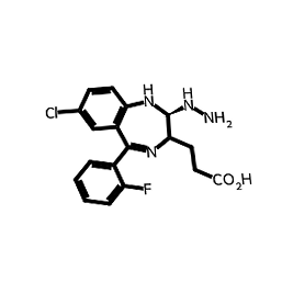 NN[C@@H]1Nc2ccc(Cl)cc2C(c2ccccc2F)=NC1CCC(=O)O